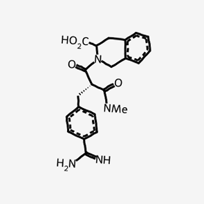 CNC(=O)[C@H](Cc1ccc(C(=N)N)cc1)C(=O)N1Cc2ccccc2CC1C(=O)O